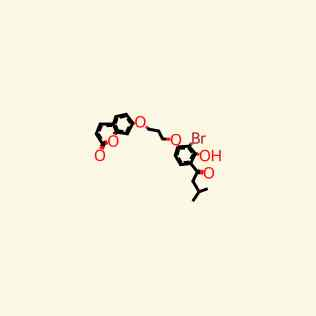 CC(C)CC(=O)c1ccc(OCCCOc2ccc3ccc(=O)oc3c2)c(Br)c1O